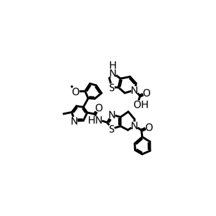 COc1ccccc1-c1cc(C)ncc1C(=O)Nc1nc2c(s1)CN(C(=O)c1ccccc1)CC2.O=C(O)N1C=CC2=C(C1)SCN2